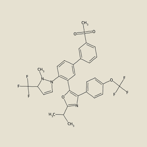 CC(C)c1nc(-c2ccc(OC(F)(F)F)cc2)c(-c2cc(-c3cccc(S(C)(=O)=O)c3)ccc2N2C=CC(C(F)(F)F)N2C)o1